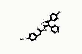 COc1ccc(CC(=O)Nc2[nH]nc(-c3ccc(F)cc3)c2-c2ccncc2)cc1